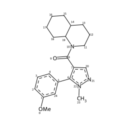 COc1cccc(-c2c(C(=O)N3CCCC4CCCCC43)cnn2C)c1